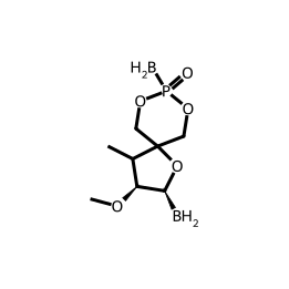 B[C@@H]1OC2(COP(B)(=O)OC2)C(C)[C@@H]1OC